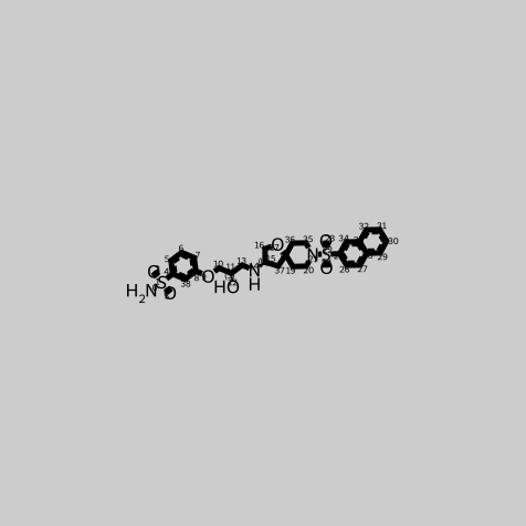 NS(=O)(=O)c1cccc(OC[C@@H](O)CN[C@H]2COC3(CCN(S(=O)(=O)c4ccc5ccccc5c4)CC3)C2)c1